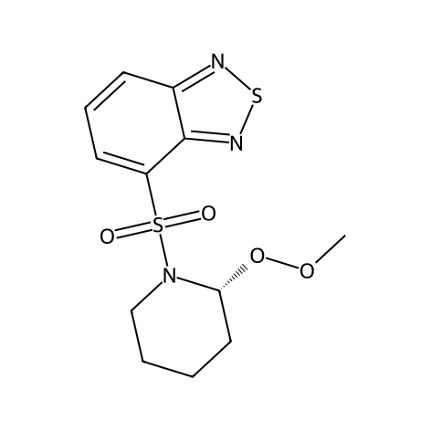 COO[C@@H]1CCCCN1S(=O)(=O)c1cccc2nsnc12